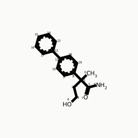 CC(CCO)(C(N)=O)c1ccc(-c2ccccc2)cc1